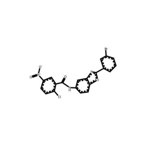 O=C(Nc1ccc2oc(-c3cccc(Br)c3)nc2c1)c1cc([N+](=O)[O-])ccc1Cl